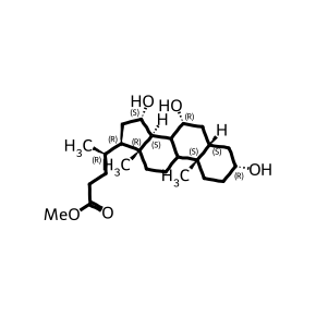 COC(=O)CC[C@@H](C)[C@H]1C[C@H](O)[C@H]2C3C(CC[C@]12C)[C@@]1(C)CC[C@@H](O)C[C@H]1C[C@H]3O